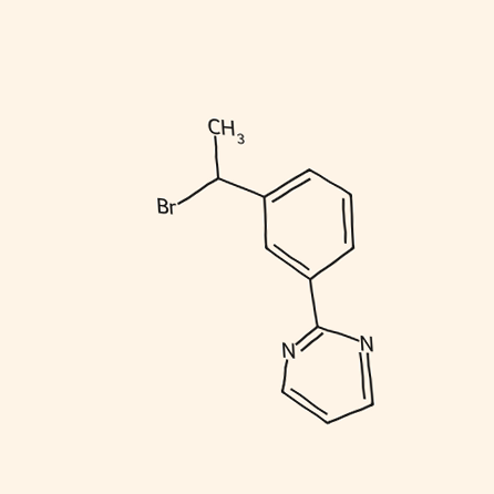 CC(Br)c1cccc(-c2ncccn2)c1